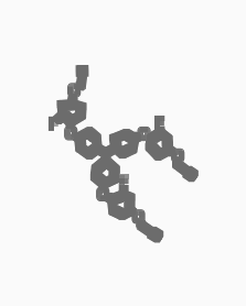 C#CCOc1ccc(Oc2ccc(C(c3ccc(Oc4ccc(OCC#C)cc4F)cc3)c3ccc(Oc4ccc(OCC#C)cc4F)cc3)cc2)c(F)c1